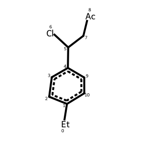 CCc1ccc(C(Cl)CC(C)=O)cc1